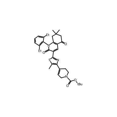 CCc1cccc(CC)c1-n1c2c(cc(-c3nc(C4=CCN(C(=O)OC(C)(C)C)CC4)c(C)s3)c1=O)C(=O)CC(C)(C)C2